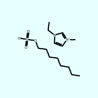 CCCCCCCCOS(=O)(=O)[O-].CCn1cc[n+](C)c1